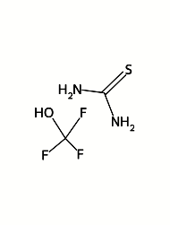 NC(N)=S.OC(F)(F)F